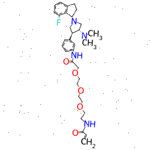 C=CC(=O)NCCOCCOCCOCC(=O)Nc1cccc([C@H]2CN([C@H]3CCc4cccc(F)c43)C[C@@H]2N(C)C)c1